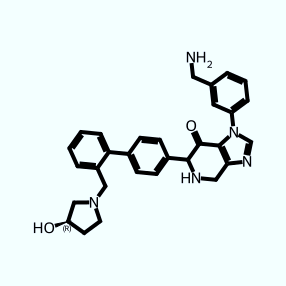 NCc1cccc(-n2cnc3c2C(=O)C(c2ccc(-c4ccccc4CN4CC[C@@H](O)C4)cc2)NC3)c1